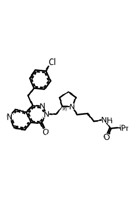 CC(C)C(=O)NCCCN1CCC[C@@H]1Cn1nc(Cc2ccc(Cl)cc2)c2cnccc2c1=O